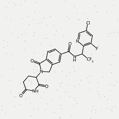 O=C1CCC(N2Cc3cc(C(=O)NC(c4ncc(Cl)cc4F)C(F)(F)F)ccc3C2=O)C(=O)N1